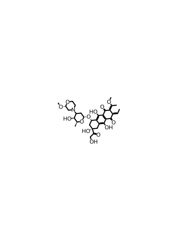 C/C=C1/C(=O)c2c(O)c3c(c(O)c2C(=O)/C1=C(/C)OC)[C@@H](O[C@H]1CC(N2CCO[C@@H](OC)C2)[C@H](O)[C@H](C)O1)C[C@](O)(C(=O)CO)C3